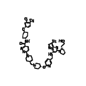 CCc1cnn2c(NCc3ccc(OC4CCN(CC5CCN(c6ccc(C(=O)N[C@H]7CC[C@H](Oc8ccc(C#N)c(Cl)c8)CC7)nn6)CC5)CC4)nc3)cc(N3CCCC[C@H]3CCO)nc12